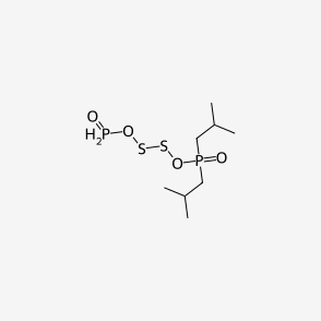 CC(C)CP(=O)(CC(C)C)OSSO[PH2]=O